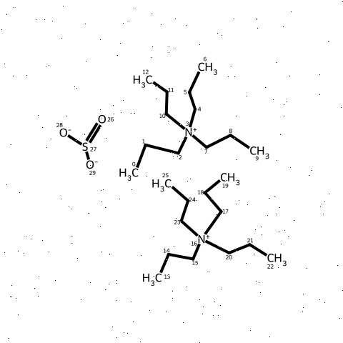 CCC[N+](CCC)(CCC)CCC.CCC[N+](CCC)(CCC)CCC.O=S([O-])[O-]